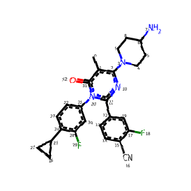 Cc1c(N2CCC(N)CC2)nc(-c2ccc(C#N)c(F)c2)n(-c2ccc(C3CC3)c(F)c2)c1=O